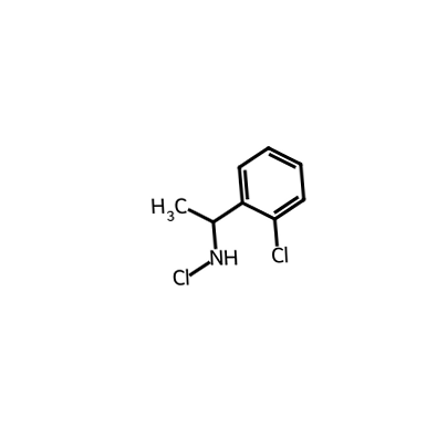 CC(NCl)c1ccccc1Cl